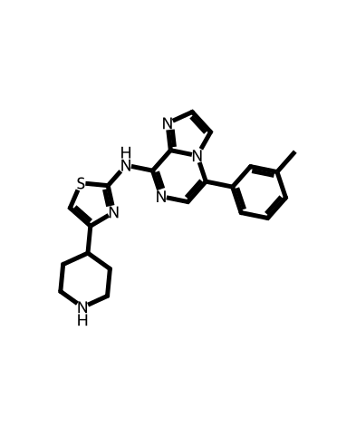 Cc1cccc(-c2cnc(Nc3nc(C4CCNCC4)cs3)c3nccn23)c1